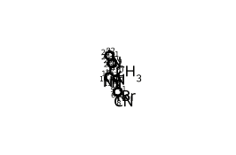 Cc1nn(-c2ccc(C#N)c(Br)c2)c2nccc(-c3cnc4ccccc4c3)c12